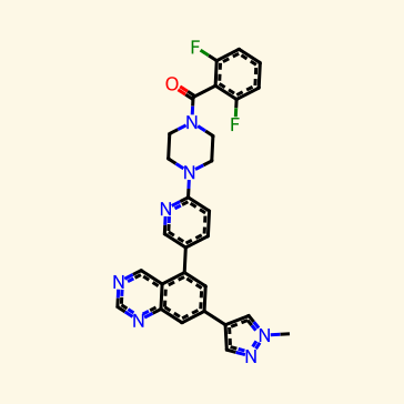 Cn1cc(-c2cc(-c3ccc(N4CCN(C(=O)c5c(F)cccc5F)CC4)nc3)c3cncnc3c2)cn1